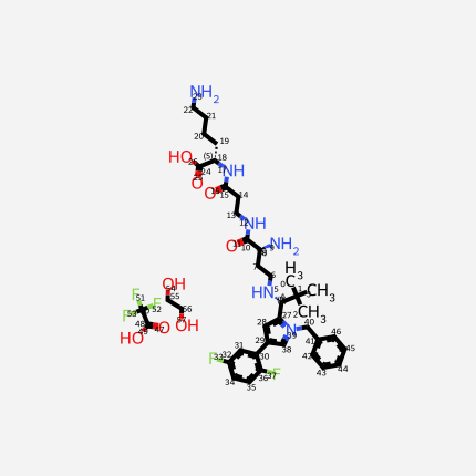 CC(C)(C)[C@@H](NCC[C@H](N)C(=O)NCCC(=O)N[C@@H](CCCCN)C(=O)O)c1cc(-c2cc(F)ccc2F)cn1Cc1ccccc1.O=C(O)C(F)(F)F.OCCO